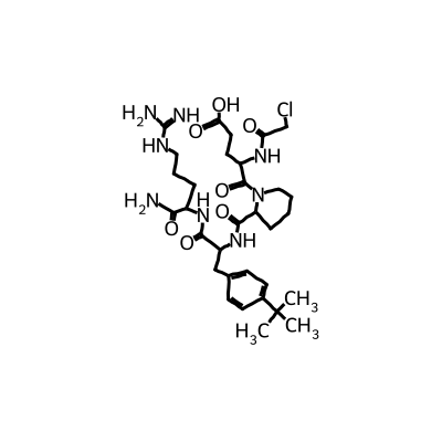 CC(C)(C)c1ccc(CC(NC(=O)C2CCCCN2C(=O)C(CCC(=O)O)NC(=O)CCl)C(=O)NC(CCCNC(=N)N)C(N)=O)cc1